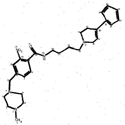 CN1CCN(Cc2ccc(C(=O)NCCCCN3CC=C(c4ccccc4)CC3)c([N+](=O)[O-])c2)CC1